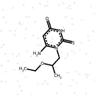 CCOC(C)Cn1c(N)cc(=O)[nH]c1=S